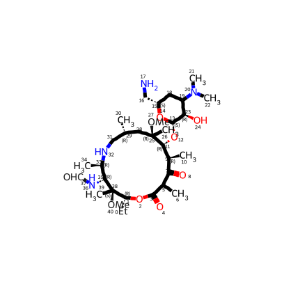 CC[C@H]1OC(=O)C(C)C(=O)[C@H](C)[C@@H](O[C@@H]2O[C@H](CN)CC(N(C)C)[C@H]2O)[C@](C)(OC)C[C@@H](C)CN[C@H](C)[C@@H](NC=O)[C@]1(C)OC